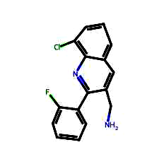 NCc1cc2cccc(Cl)c2nc1-c1ccccc1F